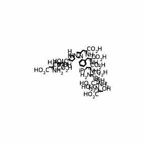 CC(C)C[C@H](N)C(=O)O.CC(C)[C@H](N)C(=O)O.C[C@@H](O)[C@H](N)C(=O)O.NCC(=O)O.NCC(=O)O.N[C@@H](CC(=O)O)C(=O)O.N[C@@H](CO)C(=O)O.N[C@@H](Cc1c[nH]cn1)C(=O)O.N[C@@H](Cc1ccccc1)C(=O)O.O=C(O)[C@@H]1CCCN1